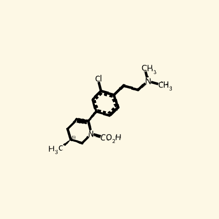 C[C@H]1CC=C(c2ccc(CCN(C)C)c(Cl)c2)N(C(=O)O)C1